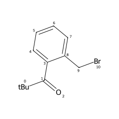 CC(C)(C)C(=O)c1ccccc1CBr